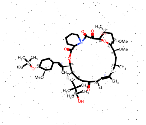 CC[C@@H]1/C=C(\C)C[C@H](C)C[C@H](OC)[C@H]2O[C@@](O)(C(=O)C(=O)N3CCCCC3C(=O)O[C@H](/C(C)=C/C3CC[C@@H](O[Si](C)(C)C(C)(C)C)[C@H](OC)C3)[C@@H](C)[C@@H](CC(C)(C)[Si](C)(C)O)CC1=O)[C@H](C)C[C@@H]2OC